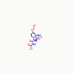 COC(=O)NC(=S)NC1C=CC(OCSC)=CC1(N)[N+](=O)[O-]